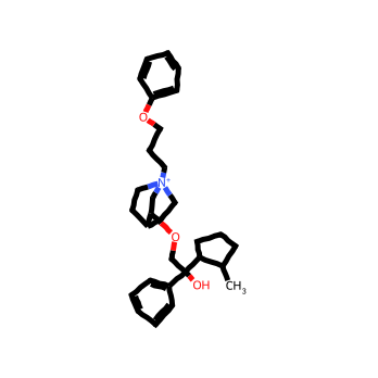 CC1CCCC1C(O)(COC1C[N+]2(CCCOc3ccccc3)CCC1CC2)c1ccccc1